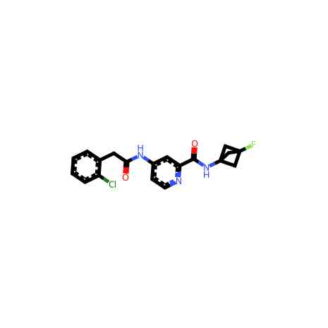 O=C(Cc1ccccc1Cl)Nc1ccnc(C(=O)NC23CC(F)(C2)C3)c1